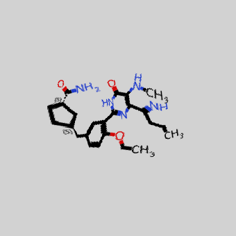 CCCC(=N)c1nc(-c2cc(C[C@H]3CC[C@H](C(N)=O)C3)ccc2OCC)[nH]c(=O)c1NC